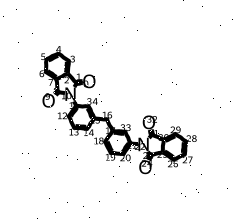 O=C1c2ccccc2C(=O)N1c1cccc(Cc2cccc(N3C(=O)c4ccccc4C3=O)c2)c1